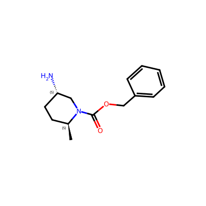 C[C@H]1CC[C@H](N)CN1C(=O)OCc1ccccc1